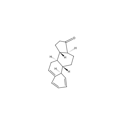 O=C1CC[C@H]2[C@@H]3CC=C4C=CC=C[C@@H]4[C@H]3CC[C@H]12